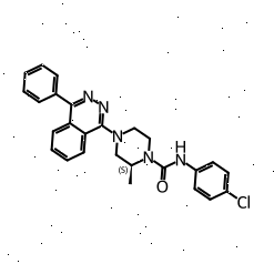 C[C@H]1CN(c2nnc(-c3ccccc3)c3ccccc23)CCN1C(=O)Nc1ccc(Cl)cc1